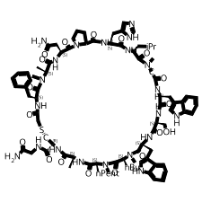 CCCCC[C@H]1C(=O)N[C@@H](C)C(=O)N[C@H](C(=O)NCC(N)=O)CSCC(=O)N[C@@H](Cc2ccccc2)C(=O)N(C)[C@@H](C)C(=O)N[C@@H](CC(N)=O)C(=O)N2CCCC2C(=O)N[C@@H](Cc2cnc[nH]2)C(=O)N[C@@H](CC(C)C)C(=O)N(C)CC(=O)N[C@@H](Cc2c[nH]c3ccccc23)C(=O)N[C@@H](CO)C(=O)N[C@@H](Cc2c[nH]c3ccccc23)C(=O)N(C)[C@@H](CCCC)C(=O)N1C